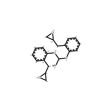 CCCC(Oc1ccccc1CC1CO1)Oc1ccccc1CC1CO1